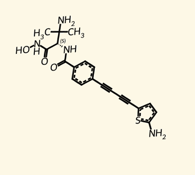 CC(C)(N)[C@H](NC(=O)c1ccc(C#CC#Cc2ccc(N)s2)cc1)C(=O)NO